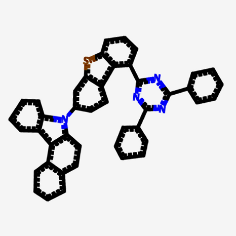 c1ccc(-c2nc(-c3ccccc3)nc(-c3cccc4sc5cc(-n6c7ccccc7c7c8ccccc8ccc76)ccc5c34)n2)cc1